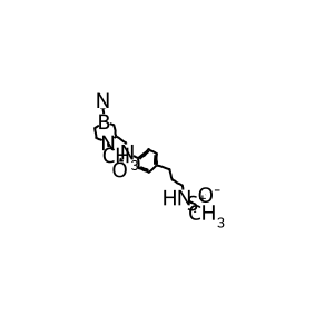 CN1CCB(C#N)CC1CN(C=O)c1ccc(CCCN[S+](C)[O-])cc1